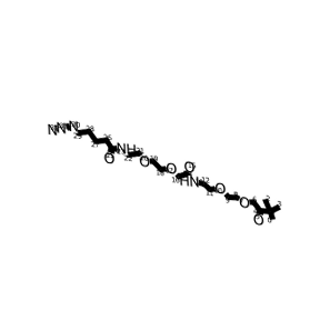 CC(C)(C)C(=O)COCCOCCNC(=O)COCCOCCNC(=O)CCCCN=[N+]=[N-]